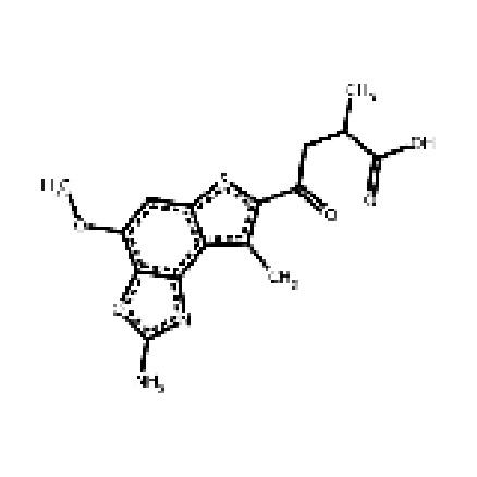 COc1cc2sc(C(=O)CC(C)C(=O)O)c(C)c2c2nc(N)oc12